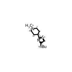 CCCCc1csc(C2CCN(C)CC2)n1